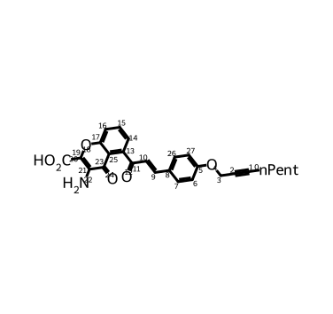 CCCCCC#CCOc1ccc(C=CC(=O)c2cccc3oc(C(=O)O)c(N)c(=O)c23)cc1